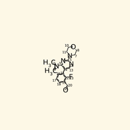 CN(C)c1nc(N2CCOCC2)ncc1-c1cccc(C=O)c1F